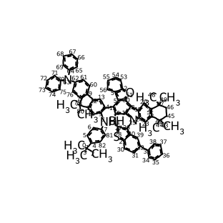 CC(C)(C)c1ccc(Nc2cc3c(cc2-c2c4c5c(c6cc7c(cc6n5-c5c(sc6ccc(-c8ccccc8)cc56)B4)C(C)(C)CCC7(C)C)c4oc5ccccc5c24)-c2ccc(N(c4ccccc4)c4ccccc4)cc2C3(C)C)cc1